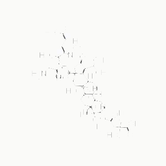 C=N/C(=C\C=C(/C)Cl)[C@H](C)N(C[C@H](O)[C@@]12CC[C@]3(C)[C@H](CC[C@@H]4[C@@]5(C)CC[C@H](OC(=O)CC(C)(C)C(=O)O)C(C)(C)[C@@H]5CC[C@]43C)C1=C(C(C)C)C(=O)C2)C(=O)CN